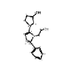 OCCn1c(N2CCC(O)C2)cnc1-c1ccccc1